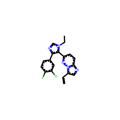 C=Cc1cnc2ccc(-c3c(-c4ccc(F)c(Cl)c4)ncn3CC)nn12